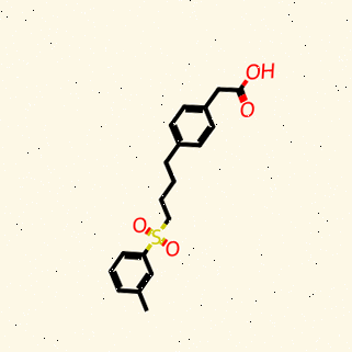 Cc1cccc(S(=O)(=O)CCCCc2ccc(CC(=O)O)cc2)c1